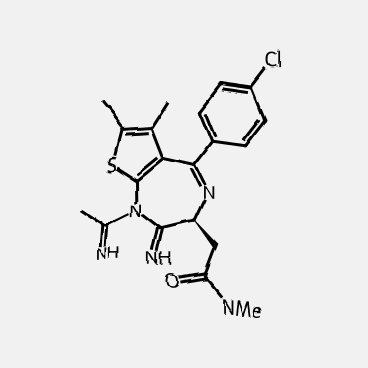 CNC(=O)C[C@@H]1N=C(c2ccc(Cl)cc2)c2c(sc(C)c2C)N(C(C)=N)C1=N